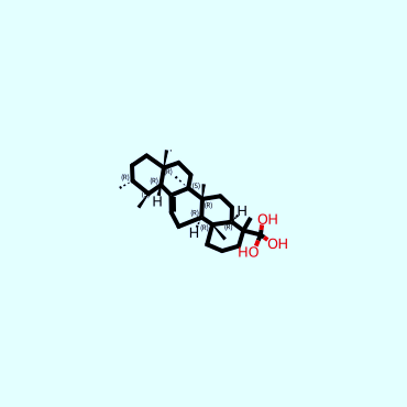 [CH2][C@]12CC[C@@H](C)[C@H](C)[C@H]1C1=CC[C@@H]3[C@@]4(C)CCCC(C)(C(O)(O)O)[C@@H]4CC[C@@]3(C)[C@]1(C)CC2